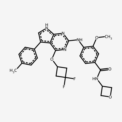 COc1cc(C(=O)NC2COC2)ccc1Nc1nc(OC2CC(F)(F)C2)c2c(-c3ccc(C)cc3)c[nH]c2n1